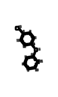 Clc1ccc(Oc2cc[c]cn2)cc1